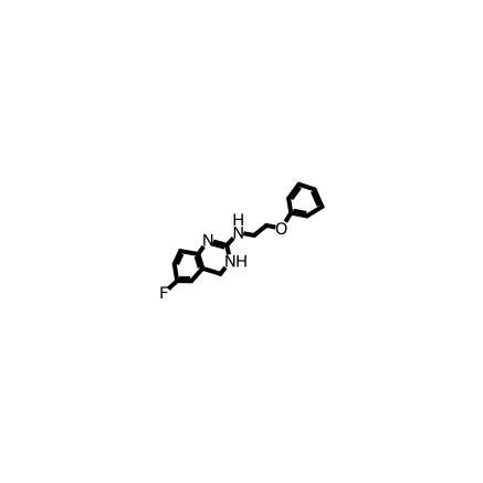 Fc1ccc2c(c1)CNC(NCCOc1ccccc1)=N2